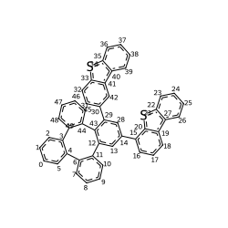 c1ccc2c(c1)-c1ccccc1-c1cc(-c3cccc4c3sc3ccccc34)cc(-c3ccc4sc5ccccc5c4c3)c1-c1ccccc1-2